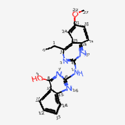 CCc1nc(Nc2nc(O)c3ccccc3n2)nc2ccc(OC)cc12